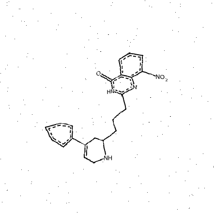 O=c1[nH]c(CCCC2CC(c3ccccc3)=CCN2)nc2c([N+](=O)[O-])cccc12